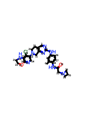 Cc1cc(Nc2ncc3c(n2)CN(c2cnc4c(c2Cl)NCCO4)CC3)ccc1NC(=O)CN1CCC1